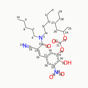 CCCCCN(CCCCC)C(=O)C(C#N)=Cc1cc(OC(=O)OC(C)CCCC)c(O)c([N+](=O)[O-])c1